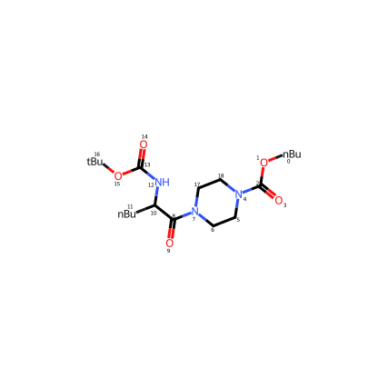 CCCCOC(=O)N1CCN(C(=O)C(CCCC)NC(=O)OC(C)(C)C)CC1